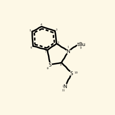 CC(C)(C)N1c2ccccc2SC1S[N]